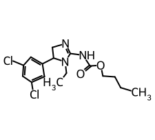 CCCCOC(=O)NC1=NCC(c2cc(Cl)cc(Cl)c2)N1CC